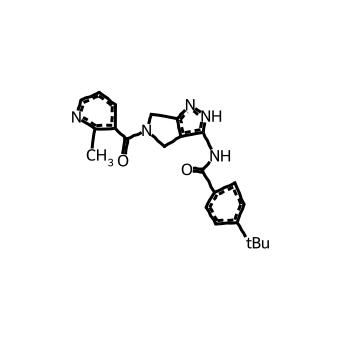 Cc1ncccc1C(=O)N1Cc2n[nH]c(NC(=O)c3ccc(C(C)(C)C)cc3)c2C1